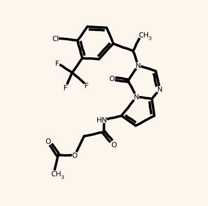 CC(=O)OCC(=O)Nc1ccc2ncn(C(C)c3ccc(Cl)c(C(F)(F)F)c3)c(=O)n12